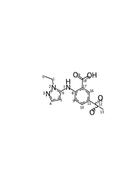 CCn1nccc1Nc1ccc(S(C)(=O)=O)cc1C(=O)O